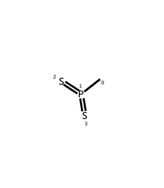 CP(=S)=S